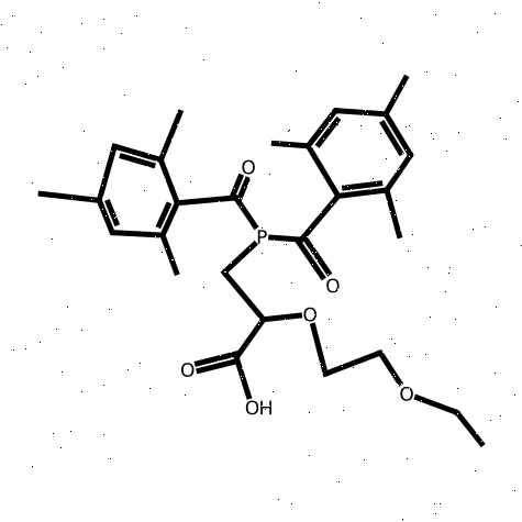 CCOCCOC(CP(C(=O)c1c(C)cc(C)cc1C)C(=O)c1c(C)cc(C)cc1C)C(=O)O